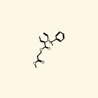 C=CN(/C(=C\C)C(=O)OCCC(=O)OC)[C@H](C)c1ccccc1